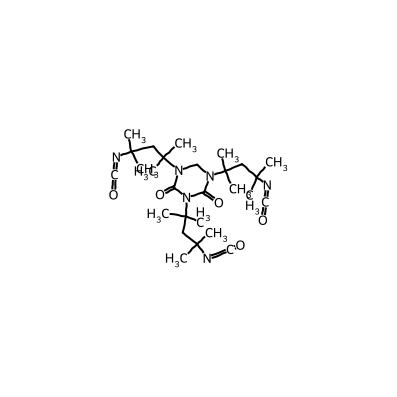 CC(C)(CC(C)(C)N1CN(C(C)(C)CC(C)(C)N=C=O)C(=O)N(C(C)(C)CC(C)(C)N=C=O)C1=O)N=C=O